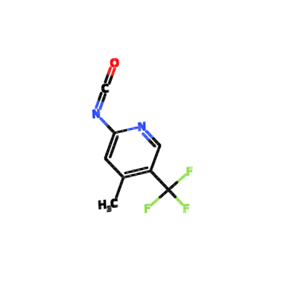 Cc1cc(N=C=O)ncc1C(F)(F)F